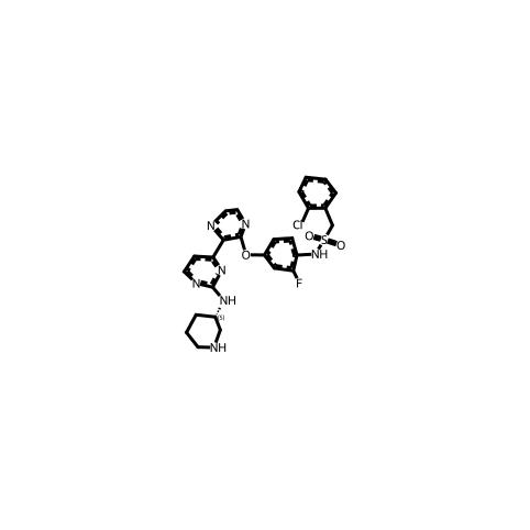 O=S(=O)(Cc1ccccc1Cl)Nc1ccc(Oc2nccnc2-c2ccnc(N[C@H]3CCCNC3)n2)cc1F